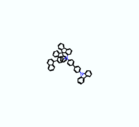 c1ccc2c(c1)-c1ccccc1C21c2ccccc2-c2cccc(N(c3ccc(-c4ccc(-n5c6ccccc6c6ccccc65)cc4)cc3)c3ccc(-c4cccc5ccccc45)cc3)c21